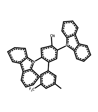 Cc1cc(-c2cc(-n3c4ccccc4c4ccccc43)c(C#N)cc2-n2c3ccccc3c3ccccc32)cc(C(F)(F)F)c1